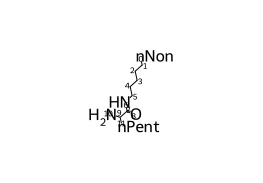 CCCCCCCCCCCCCCNC(=O)C(N)CCCCC